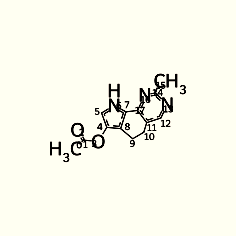 CC(=O)Oc1c[nH]c2c1CCc1cnc(C)nc1-2